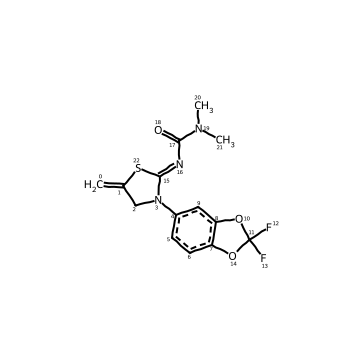 C=C1CN(c2ccc3c(c2)OC(F)(F)O3)C(=NC(=O)N(C)C)S1